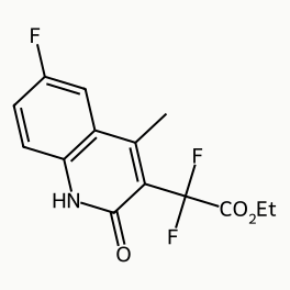 CCOC(=O)C(F)(F)c1c(C)c2cc(F)ccc2[nH]c1=O